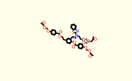 CCCN(/N=C/c1cc(CCOC(=O)c2ccc(OCOC3CO3)cc2)ccc1OC(=O)c1ccc(OCOC2CO2)c(OCOCC2CO2)c1)c1nc2ccccc2s1